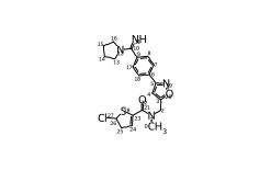 CN(Cc1cc(-c2ccc(C(=N)N3CCCC3)cc2)no1)C(=O)C1=CCC(Cl)S1